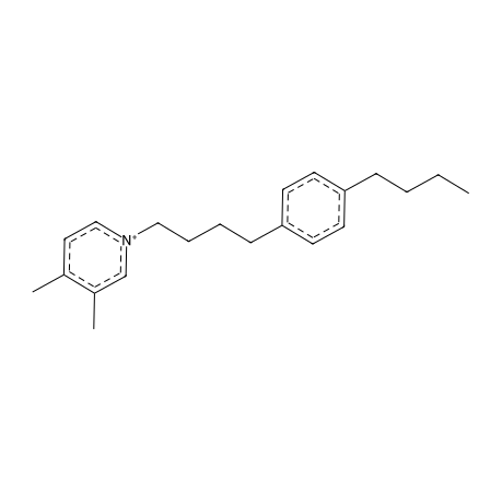 CCCCc1ccc(CCCC[n+]2ccc(C)c(C)c2)cc1